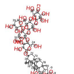 C[C@H]1C2[C@@H](O[C@]13CCCCO3)[C@@H](O)[C@H]1[C@@H]3CC[C@H]4C[C@@H](OC5O[C@H](CO)[C@H](OC6O[C@H](CO)C[C@H](O[C@@H]7OCC[C@H](O)[C@H]7O)[C@H]6O[C@@H]6O[C@H](CO)[C@H](O)[C@H](O[C@@H]7O[C@H](CO)[C@@H](O)[C@H](O)[C@H]7O)[C@H]6O)[C@H](O)[C@H]5O)CC[C@]4(C)C3CC[C@]21C